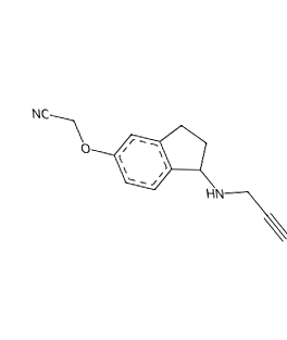 C#CCNC1CCc2cc(OCC#N)ccc21